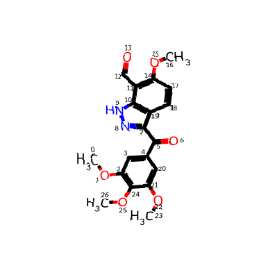 COc1cc(C(=O)c2n[nH]c3c(C=O)c(OC)ccc23)cc(OC)c1OC